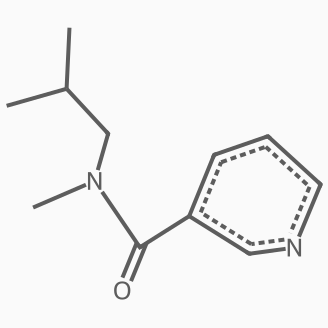 CC(C)CN(C)C(=O)c1cccnc1